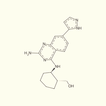 Nc1nc(N[C@@H]2CCCC[C@H]2CO)c2ccc(-c3ccn[nH]3)cc2n1